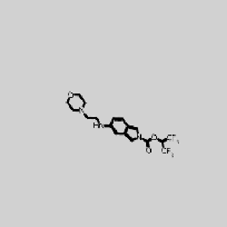 O=C(OC(C(F)(F)F)C(F)(F)F)n1cc2ccc(NCCN3CCOCC3)cc2c1